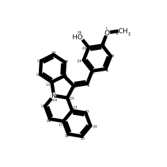 COc1ccc(C=C2c3ccccc3N3C=Cc4ccccc4C23)cc1O